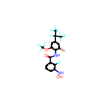 O=C(Nc1c(Br)cc(C(F)(C(F)(F)F)C(F)(F)F)cc1OC(F)(F)F)c1cccc(NO)c1F